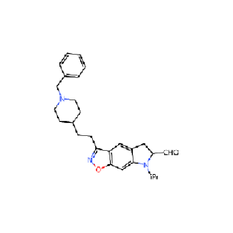 CC(C)N1c2cc3onc(CCC4CCN(Cc5ccccc5)CC4)c3cc2CC1C=O